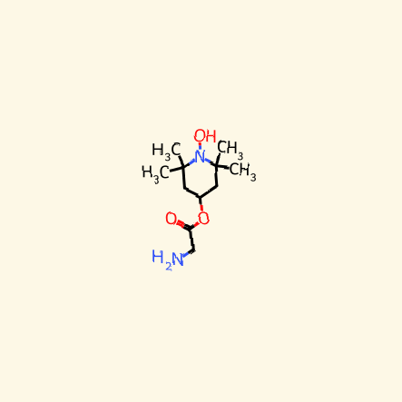 CC1(C)CC(OC(=O)CN)CC(C)(C)N1O